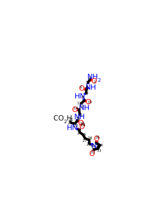 NC(=O)CNC(=O)CNC(=O)CNC(=O)CNC(=O)C(CC(=O)O)NC(=O)CCCCCN1C(=O)C=CC1=O